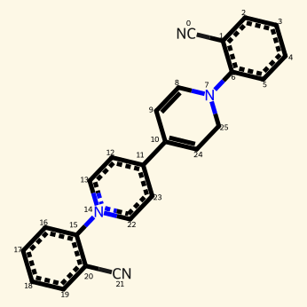 N#Cc1ccccc1N1C=CC(c2cc[n+](-c3ccccc3C#N)cc2)=CC1